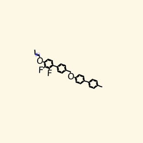 C/C=C/Oc1ccc(-c2ccc(COc3ccc(-c4ccc(C)cc4)cc3)cc2)c(F)c1F